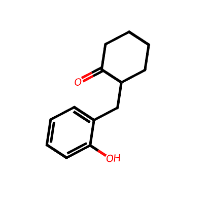 O=C1CCCCC1Cc1ccccc1O